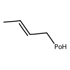 CC=C[CH2][PoH]